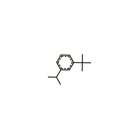 CC(C)c1c[c]cc(C(C)(C)C)c1